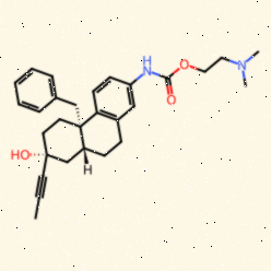 CC#C[C@@]1(O)CC[C@@]2(Cc3ccccc3)c3ccc(NC(=O)OCCN(C)C)cc3CC[C@@H]2C1